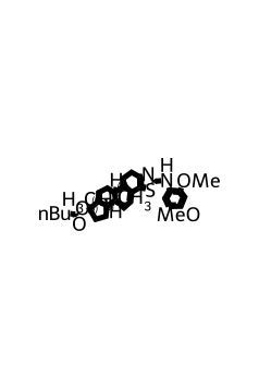 CCCCC(=O)O[C@H]1CC[C@H]2[C@@H]3CC=C4c5sc(Nc6cc(OC)ccc6OC)nc5CC[C@]4(C)[C@H]3CC[C@]12C